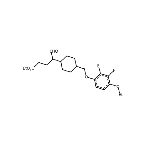 CCOC(=O)CCC(C=O)C1CCC(COc2ccc(OCC)c(F)c2F)CC1